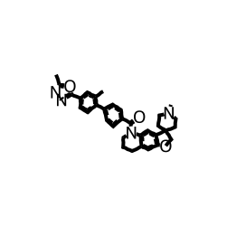 Cc1nnc(-c2ccc(-c3ccc(C(=O)N4CCCc5cc6c(cc54)C4(CCN(C)CC4)CO6)cc3)c(C)c2)o1